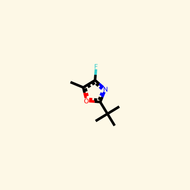 Cc1oc(C(C)(C)C)nc1F